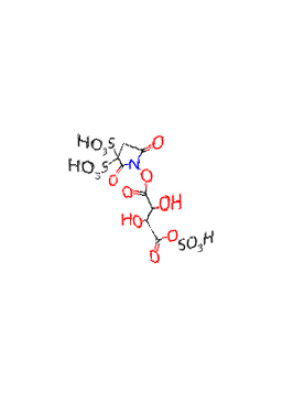 O=C(ON1C(=O)CC(S(=O)(=O)O)(S(=O)(=O)O)C1=O)C(O)C(O)C(=O)OS(=O)(=O)O